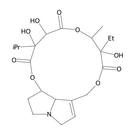 CCC1(O)C(=O)OCC2=CCN3CCC(OC(=O)C(O)(C(C)C)C(O)C(=O)OC1C)C23